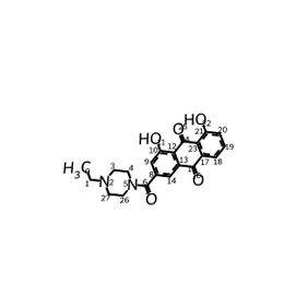 CCN1CCN(C(=O)c2cc(O)c3c(c2)C(=O)c2cccc(O)c2C3=O)CC1